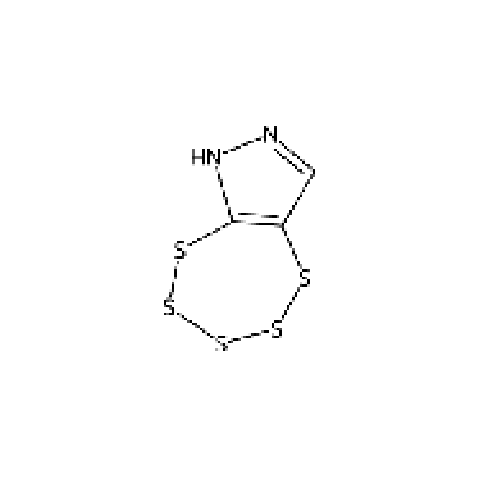 c1n[nH]c2c1SSSSS2